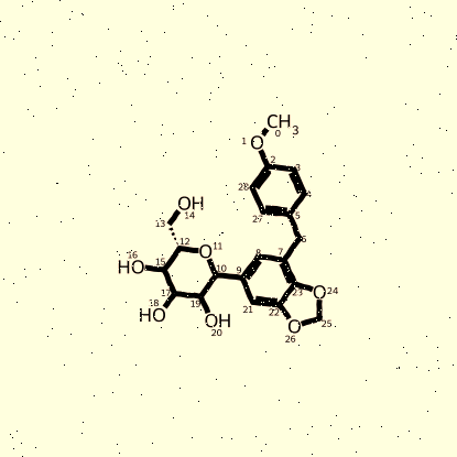 COc1ccc(Cc2cc(C3O[C@@H](CO)C(O)C(O)C3O)cc3c2OCO3)cc1